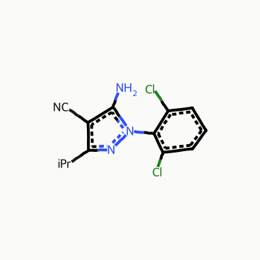 CC(C)c1nn(-c2c(Cl)cccc2Cl)c(N)c1C#N